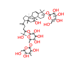 C[C@@H]1[C@@H](O)[C@H](OC[C@H]2O[C@@H](O[C@H](CC[C@@H](C)C3CC[C@@]4(C)C5CC=C6C(CC[C@H](O[C@@H]7O[C@H](CO)[C@@H](O)[C@H](O)[C@H]7O)C6(C)C)[C@]5(C)[C@H](O)C[C@]34C)C(C)(C)O)[C@H](O)[C@@H](O)[C@@H]2O)O[C@H](CO)[C@H]1O